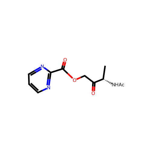 CC(=O)N[C@@H](C)C(=O)COC(=O)c1ncccn1